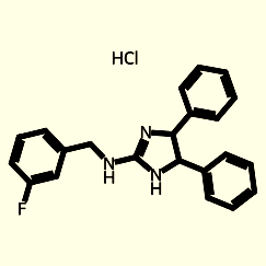 Cl.Fc1cccc(CNC2=NC(c3ccccc3)C(c3ccccc3)N2)c1